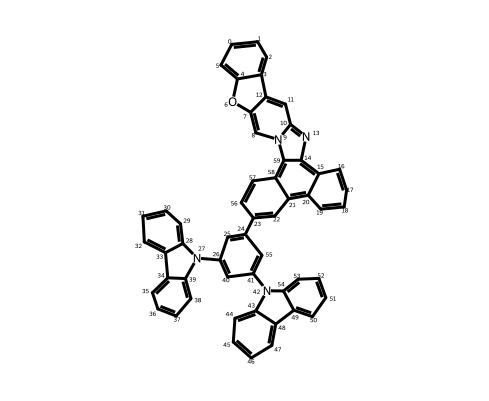 c1ccc2c(c1)oc1cn3c(cc12)nc1c2ccccc2c2cc(-c4cc(-n5c6ccccc6c6ccccc65)cc(-n5c6ccccc6c6ccccc65)c4)ccc2c13